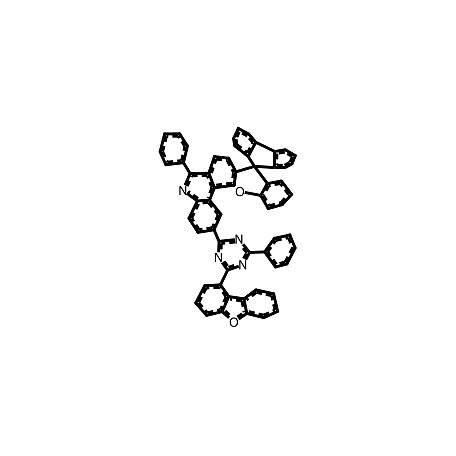 c1ccc(-c2nc(-c3ccc4nc(-c5ccccc5)c5ccc6c(c5c4c3)Oc3ccccc3C63c4ccccc4-c4ccccc43)nc(-c3cccc4oc5ccccc5c34)n2)cc1